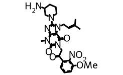 COc1cccc(C(=O)Cn2c(=O)c3c(nc(N4CCCC(N)C4)n3CC=C(C)C)n(C)c2=O)c1[N+](=O)[O-]